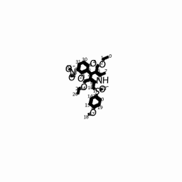 CCOC(=O)C1=C(C)NC(C[S+]([O-])c2ccc(OC)cc2)=C(C(=O)OCC)C1c1cccc([N+](=O)[O-])c1